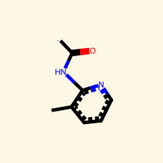 [CH2]C(=O)Nc1ncccc1C